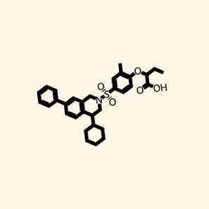 CCC(Oc1ccc(S(=O)(=O)N2Cc3cc(-c4ccccc4)ccc3C(C3CCCCC3)C2)cc1C)C(=O)O